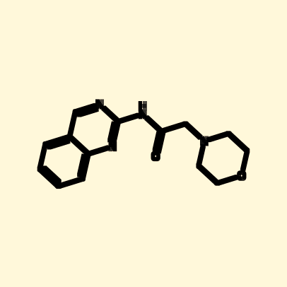 O=C(CN1CCOCC1)Nc1ncc2ccccc2n1